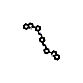 C(=C\c1cccc(-c2ccc3ccccc3n2)c1)/c1ccc(/C=C/c2cccc(-c3ccc4ccccc4n3)c2)cc1